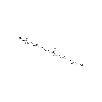 CC(=O)CCOCCOCCNC(=O)CCOCCOCCNC(=O)CBr